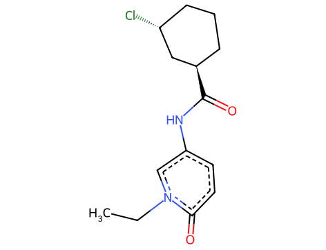 CCn1cc(NC(=O)[C@@H]2CCC[C@@H](Cl)C2)ccc1=O